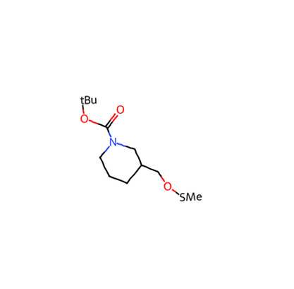 CSOCC1CCCN(C(=O)OC(C)(C)C)C1